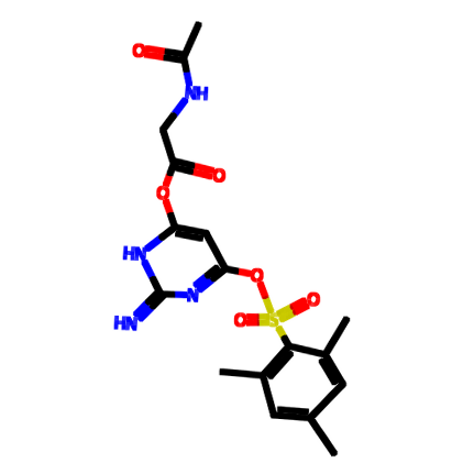 CC(=O)NCC(=O)Oc1cc(OS(=O)(=O)c2c(C)cc(C)cc2C)nc(=N)[nH]1